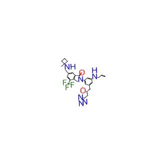 C=CCNc1cc(C[C@@H](Cc2nncn2C)OC)cc(N2Cc3c(cc(CNC4(C)CCC4)cc3C(F)(F)F)C2=O)c1